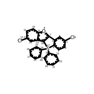 Clc1ccc2c(c1)-c1oc3ccc(Cl)cc3c1S2(c1ccccc1)c1ccccc1